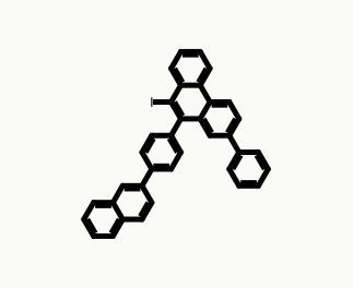 Ic1c(-c2ccc(-c3ccc4ccccc4c3)cc2)c2cc(-c3ccccc3)ccc2c2ccccc12